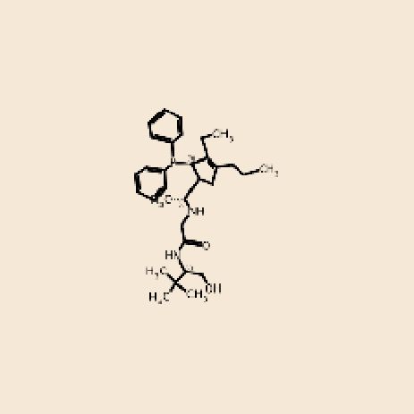 CCCC1=C(CC)[C@H](P(c2ccccc2)c2ccccc2)C([C@@H](C)NCC(=O)N[C@@H](CO)C(C)(C)C)C1